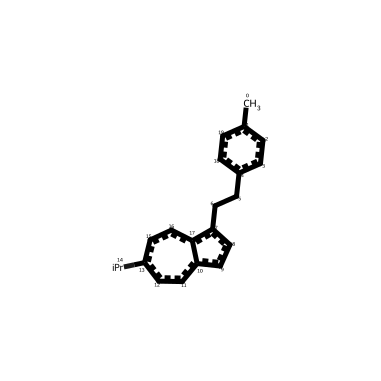 Cc1ccc(CCc2ccc3ccc(C(C)C)ccc2-3)cc1